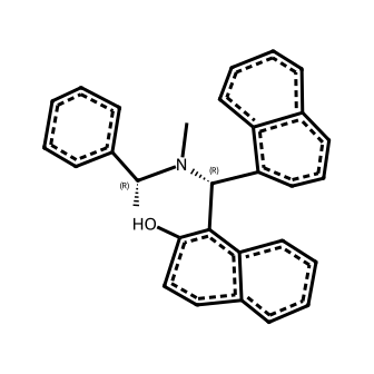 C[C@H](c1ccccc1)N(C)[C@H](c1cccc2ccccc12)c1c(O)ccc2ccccc12